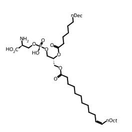 CCCCCCCC/C=C\CCCCCCCCCC(=O)OC[C@H](COP(=O)(O)OC[C@H](N)C(=O)O)OC(=O)CCCCCCCCCCCCCCC